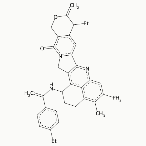 C=C(NC1CCc2c(C)c(P)cc3nc4c(c1c23)Cn1c-4cc2c(c1=O)COC(=C)C2CC)c1ccc(CC)cc1